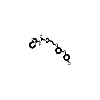 O=C(Nc1cnc2ccccn12)N1CC(CCOc2cccc(Oc3ccc(Cl)cc3)c2)C1